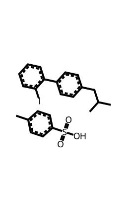 CC(C)Cc1ccc(-c2ccccc2I)cc1.Cc1ccc(S(=O)(=O)O)cc1